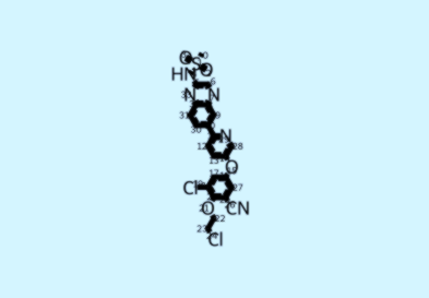 CS(=O)(=O)Nc1cnc2cc(-c3ccc(Oc4cc(Cl)c(OCCCl)c(C#N)c4)cn3)ccc2n1